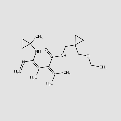 C=N/C(NC1(C)CC1)=C(\C)C(C(=O)NCC1(COCC)CC1)=C(C)C